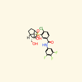 O=C(Nc1cc(F)c(F)c(F)c1)c1ccc(Cl)c(S(=O)(=O)[C@H]2C3CC[C@H]2[C@@H](CO)[C@H](O)C3)c1